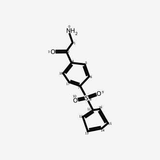 NCC(=O)c1ccc(S(=O)(=O)c2ccccc2)cc1